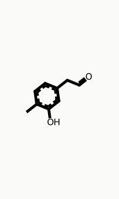 Cc1ccc(CC=O)cc1O